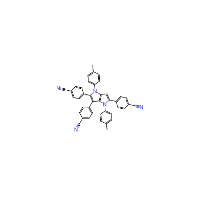 Cc1ccc(-n2c(-c3ccc(C#N)cc3)c(-c3ccc(C#N)cc3)c3c2cc(-c2ccc(C#N)cc2)n3-c2ccc(C)cc2)cc1